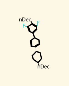 CCCCCCCCCCc1c(F)cc(C2C=CC([C@H]3CC[C@H](CCCCCCCCCC)CC3)=CC2)cc1F